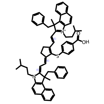 CC(C)CCN1/C(=C/C=C2\CCC(/C=C/C3=[N+](CCC(C)C)c4ccc5ccccc5c4C3(C)Cc3ccccc3)=C2Sc2ccc(C(=O)O)cc2)C(C)(Cc2ccccc2)c2c1ccc1ccccc21